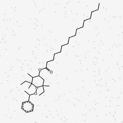 CCCCCCCCCCCCCCCC(=O)OC1CC(C)(CC)N(OC(C)c2ccccc2)C(C)(CC)C1C